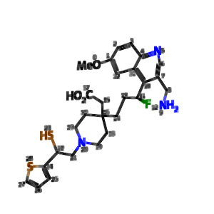 COc1ccc2ncc(CN)c([C@@H](F)CCC3(CC(=O)O)CCN(CC(S)c4cccs4)CC3)c2c1